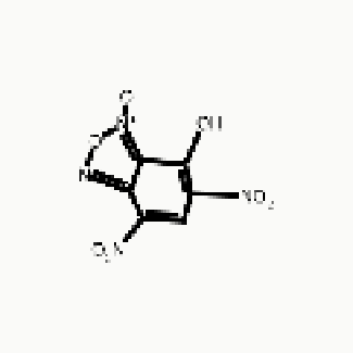 O=[N+]([O-])c1cc([N+](=O)[O-])c2no[n+]([O-])c2c1O